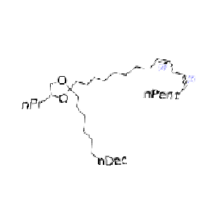 CCCCC/C=C\C/C=C\CCCCCCCCC1(CCCCCCCCCCCCCCCC)OCC(CCC)O1